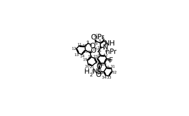 CCCN1NC(C(C)C)=C(C(=O)OCc2ccccc2C(=O)c2ccccc2)C1Cc1ccc(-c2ccccc2S(N)(=O)=O)c(F)c1